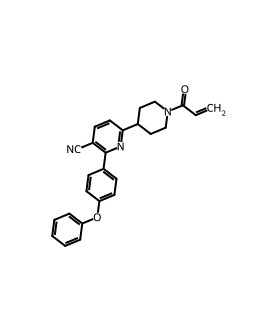 C=CC(=O)N1CCC(c2ccc(C#N)c(-c3ccc(Oc4ccccc4)cc3)n2)CC1